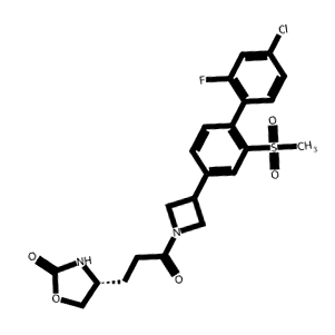 CS(=O)(=O)c1cc(C2CN(C(=O)CC[C@@H]3COC(=O)N3)C2)ccc1-c1ccc(Cl)cc1F